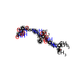 CC1(C)CCC(CN2CCN(c3ccc(C(=O)NS(=O)(=O)c4ccc(N[C@H](CCN5CCN(CCCCC(=O)Nc6cccc7c6C(=O)N(C6CCC(=O)NC6=O)C7=O)CC5)CSc5ccccc5)c(S(=O)(=O)C(F)(F)F)c4)cc3)CC2)=C(C23CC(C)(C2)C3)C1